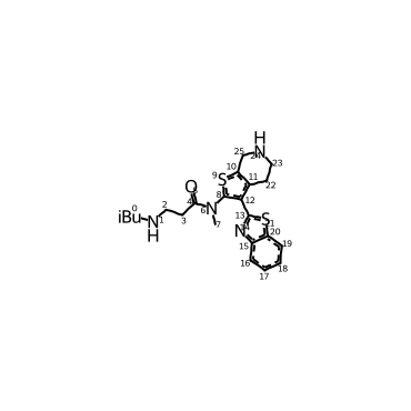 CCC(C)NCCC(=O)N(C)c1sc2c(c1-c1nc3ccccc3s1)CCNC2